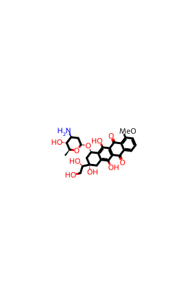 COc1cccc2c1C(=O)c1c(O)c3c(c(O)c1C2=O)C[C@@](O)([C@@H](O)CO)C[C@@H]3O[C@H]1C[C@H](N)[C@@H](O)[C@H](C)O1